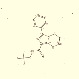 CC(C)(C)CNC(=O)c1nc(-c2ccccc2)n2c1CNCC2